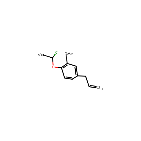 C=CCc1ccc(OC(Cl)CCCC)c(OC)c1